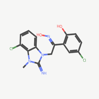 Cn1c(=N)n(C/C(=N\O)c2cc(Cl)ccc2O)c2cccc(Cl)c21